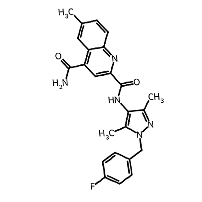 Cc1ccc2nc(C(=O)Nc3c(C)nn(Cc4ccc(F)cc4)c3C)cc(C(N)=O)c2c1